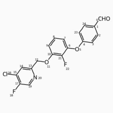 O=Cc1ccc(Oc2cccc(OCc3cc(Cl)c(F)cn3)c2F)cc1